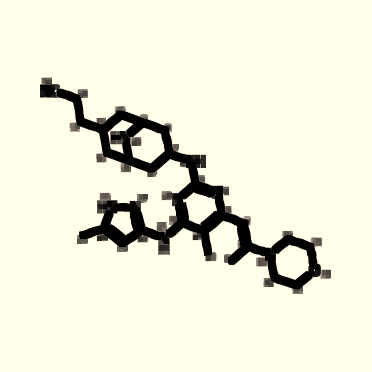 C/C(=C\c1nc(NC2CC3CC(CCC#N)CC(C2)N3)nc(Nc2cc(C)[nH]n2)c1C)N1CCOCC1